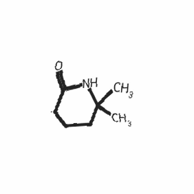 CC1(C)CC[CH]C(=O)N1